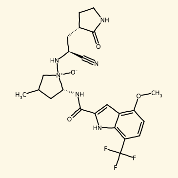 COc1ccc(C(F)(F)F)c2[nH]c(C(=O)N[C@@H]3CC(C)C[N+]3([O-])N[C@H](C#N)C[C@@H]3CCNC3=O)cc12